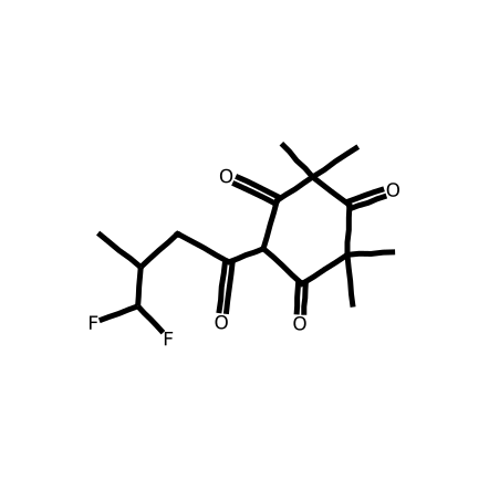 CC(CC(=O)C1C(=O)C(C)(C)C(=O)C(C)(C)C1=O)C(F)F